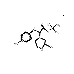 Cc1ccc(NC(C(=O)OC(C)(C)C)N2CCNC(C)C2)cc1